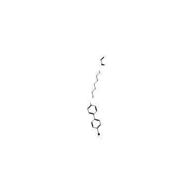 C=CC(=O)OCCCCCCCOc1ccc(-c2ccc(C#N)cc2)cc1